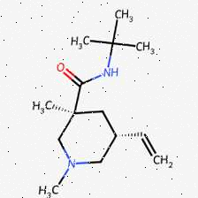 C=C[C@@H]1CN(C)C[C@@](C)(C(=O)NC(C)(C)C)C1